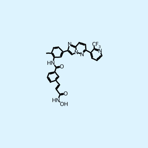 Cc1ccc(-c2cn3nc(-c4cccnc4C(F)(F)F)ccc3n2)cc1NC(=O)c1cccc(/C=C/C(=O)NO)c1